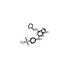 NS(=O)(=O)c1ccc(Nc2nc(OCC3CCCC3)c3nc[nH]c3n2)cc1